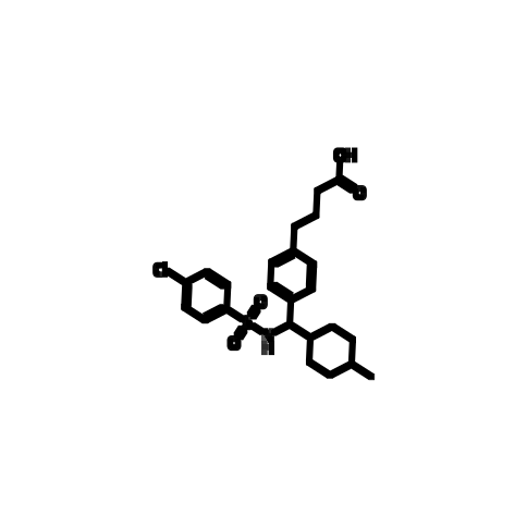 CC1CCC(C(NS(=O)(=O)c2ccc(Cl)cc2)c2ccc(CCCC(=O)O)cc2)CC1